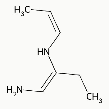 C/C=C\N/C(=C\N)CC